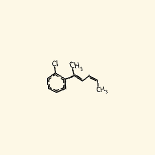 C/C=C\C=C(/C)c1ccccc1Cl